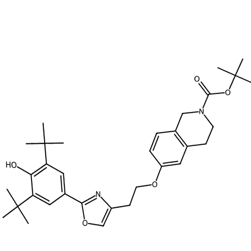 CC(C)(C)OC(=O)N1CCc2cc(OCCc3coc(-c4cc(C(C)(C)C)c(O)c(C(C)(C)C)c4)n3)ccc2C1